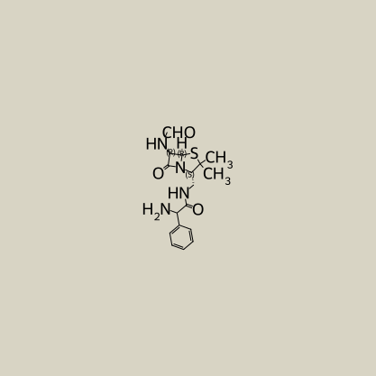 CC1(C)S[C@@H]2[C@H](NC=O)C(=O)N2[C@H]1CNC(=O)C(N)c1ccccc1